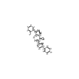 Cc1ccccc1-n1nnc(C(=O)Nc2nc(-c3ccccc3)cs2)c1C